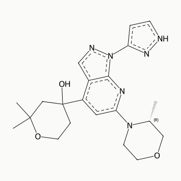 C[C@@H]1COCCN1c1cc(C2(O)CCOC(C)(C)C2)c2cnn(-c3cc[nH]n3)c2n1